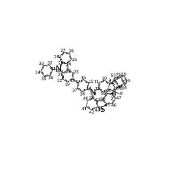 CC1(C)c2ccccc2-c2ccc(N(c3ccc(-c4ccc5c(c4)c4ccccc4n5-c4ccccc4)cc3)c3cccc4sc5ccc(-c6ccccc6)cc5c34)cc21